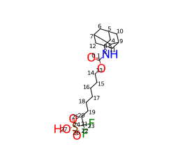 O=C(NC12CC3CC(CC(C3)C1)C2)OCCCCCCCC(F)(F)S(=O)(=O)O